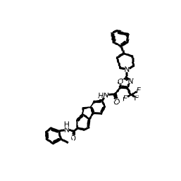 Cc1ccccc1NC(=O)c1ccc2c(c1)Cc1cc(NC(=O)c3oc(N4CCC(c5ccccc5)CC4)nc3C(F)(F)F)ccc1-2